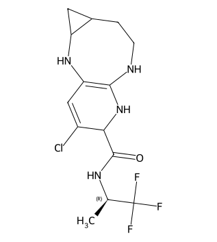 C[C@@H](NC(=O)C1NC2=C(C=C1Cl)NC1CC1CCN2)C(F)(F)F